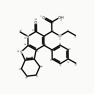 CCOC(C(=O)O)c1c(-c2ccc(C)cc2)c2c3c(sc2n(C)c1=O)CCCC3